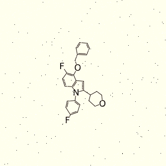 Fc1ccc(-n2c(C3CCOCC3)cc3c(OCc4ccccc4)c(F)ccc32)cc1